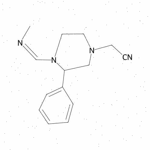 C/N=C\N1CCN(CC#N)CC1c1ccccc1